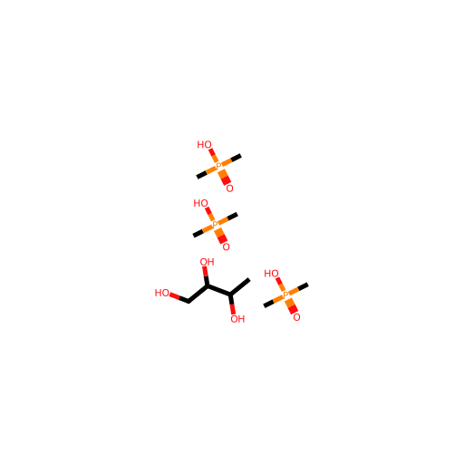 CC(O)C(O)CO.CP(C)(=O)O.CP(C)(=O)O.CP(C)(=O)O